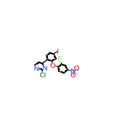 O=[N+]([O-])c1ccc(Oc2cc(I)ccc2-c2ccnc(Cl)n2)c(F)c1